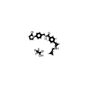 O=C(NCc1ccc(N2CCCC2=O)cc1)c1ccc(C2CC2NCC2CC2)cc1.O=C(O)C(F)(F)F